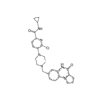 O=C(NC1CC1)c1ccc(N2CCN(Cc3ccc4c(c3)[nH]c(=O)c3cccn34)CC2)c(Cl)n1